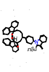 C=C1C2CCC=CC2N(C2CCC(C3CCCC4(C5=C(C=CCC5)C5CC=CCC54)C4CC=CC[C@@H]4C4(C(=C)C3)C3=CCCCC3C3=C4CCC=C3)CC2)C1CCCC